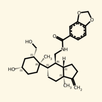 C=C1CC[C@H]2[C@H](CNC(=O)c3ccc4c(c3)OCO4)[C@@H]([C@@]3(C)CC[C@H](O)C[C@@H]3CO)CC[C@]12C